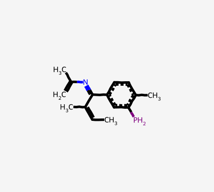 C=C(C)/N=C(\C(C)=C/C)c1ccc(C)c(P)c1